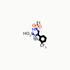 CCS(=O)(=O)NCC(c1cccc(C(F)(F)F)c1)N(C(=O)O)C(C)(C)C